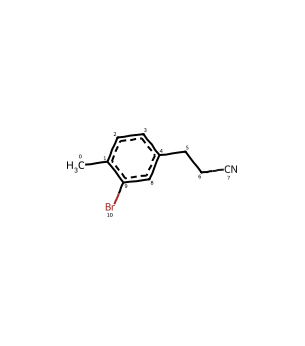 Cc1ccc(CCC#N)cc1Br